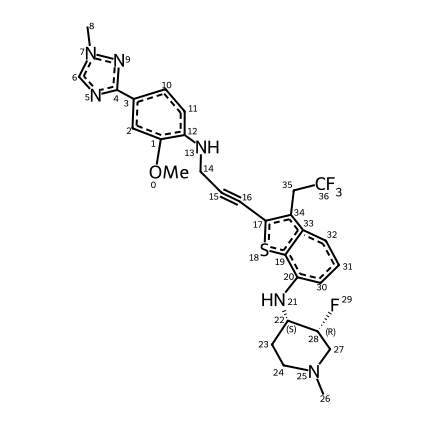 COc1cc(-c2ncn(C)n2)ccc1NCC#Cc1sc2c(N[C@H]3CCN(C)C[C@H]3F)cccc2c1CC(F)(F)F